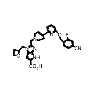 N#Cc1ccc(COc2cccc(C3=CCN(Cc4nc5[nH]c(C(=O)O)cc5n4CC4CCO4)CC3)n2)c(F)c1